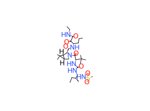 CCCC(NC(=O)[C@@H]1[C@@H]2[C@H](CN1C(=O)[C@@H](NC(=O)N[C@H](CNS(C)(=O)=O)[C@@H](C)CC)C(C)(C)C)C2(C)C)C(=O)C(=O)NCC